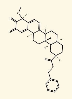 CO[C@]1(C)C(=O)C(=O)C=C2C1=CC=C1[C@@]2(C)CC[C@@]2(C)[C@@H]3C[C@](C)(C(=O)OCc4ccccc4)CC[C@]3(C)CC[C@]12C